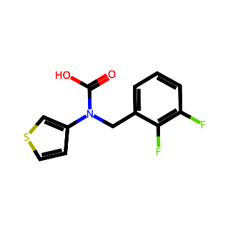 O=C(O)N(Cc1cccc(F)c1F)c1ccsc1